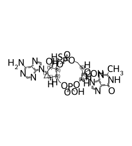 Cc1nc2c(ncn2[C@@H]2O[C@@H]3CO[P@](=O)(S)O[C@@H]4[C@@H](COP(=O)(O)O[C@@H]2[C@@H]3CO)[C@@H]2C[C@@]2(n2cnc3c(N)ncnc32)[C@@H]4O)c(=O)[nH]1